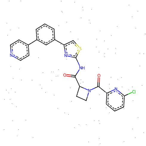 O=C(Nc1nc(-c2cccc(-c3ccncc3)c2)cs1)C1CCN1C(=O)c1cccc(Cl)n1